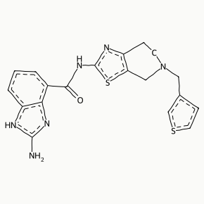 Nc1nc2c(C(=O)Nc3nc4c(s3)CN(Cc3ccsc3)CC4)cccc2[nH]1